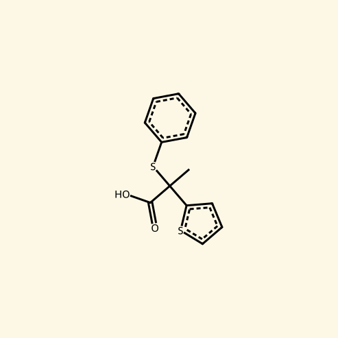 CC(Sc1ccccc1)(C(=O)O)c1cccs1